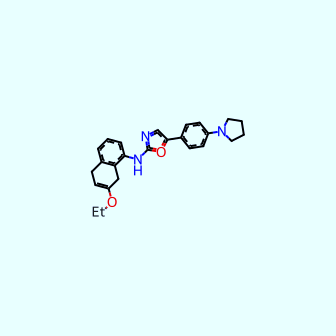 CCOC1=CCc2cccc(Nc3ncc(-c4ccc(N5CCCC5)cc4)o3)c2C1